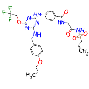 C=CCOc1ccc(CNc2nc(Nc3ccc(C(=O)NCC(=O)NS(=O)(=O)CC=C)cc3)nc(OCC(F)(F)F)n2)cc1